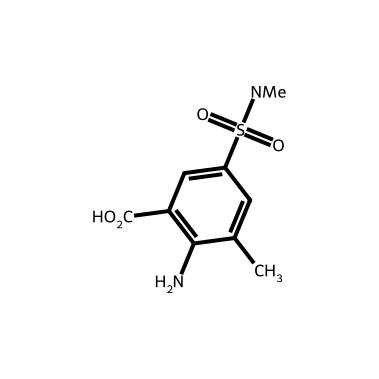 CNS(=O)(=O)c1cc(C)c(N)c(C(=O)O)c1